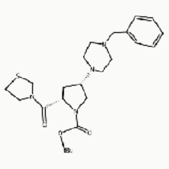 CC(C)(C)OC(=O)N1C[C@@H](N2CCN(Cc3ccccc3)CC2)C[C@H]1C(=O)N1CCSC1